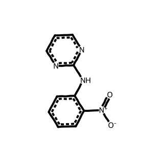 O=[N+]([O-])c1ccccc1Nc1ncccn1